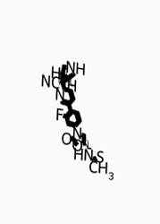 CC(=S)NC[C@H]1CN(c2ccc(-c3ccc([C@@]4(C#N)[C@@H]5CNC[C@@H]54)nc3)c(F)c2)C(=O)O1